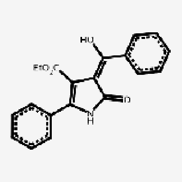 CCOC(=O)C1=C(c2ccccc2)NC(=O)/C1=C(/O)c1ccccc1